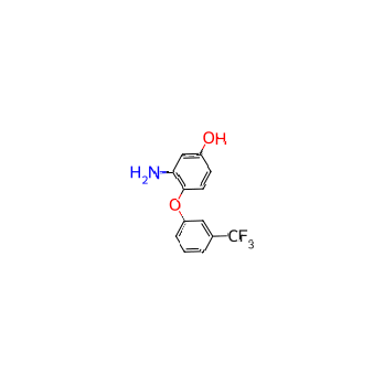 Nc1cc(O)ccc1Oc1cccc(C(F)(F)F)c1